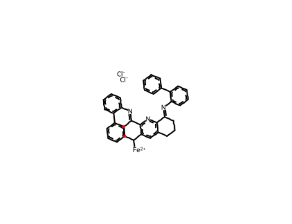 [Cl-].[Cl-].[Fe+2][CH]1CCC(=Nc2ccccc2-c2ccccc2)c2nc3c(cc21)CCCC3=Nc1ccccc1-c1ccccc1